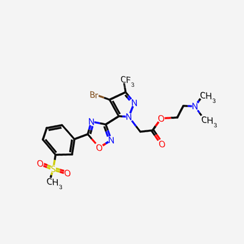 CN(C)CCOC(=O)Cn1nc(C(F)(F)F)c(Br)c1-c1noc(-c2cccc(S(C)(=O)=O)c2)n1